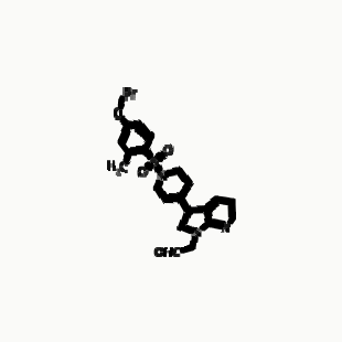 Cc1cc(OC(C)C)ccc1S(=O)(=O)N1CC=C(C2CN(CC=O)c3ncccc32)CC1